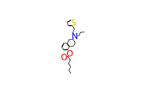 CCCCCC(=O)Oc1cccc2c1CCC(N(CCC)CCc1cccs1)C2